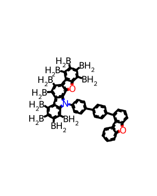 Bc1c(B)c(B)c2c(oc3c2c(B)c(B)c2c4c(B)c(B)c(B)c(B)c4n(-c4ccc(-c5ccc(-c6cccc7oc8ccccc8c67)cc5)cc4)c32)c1B